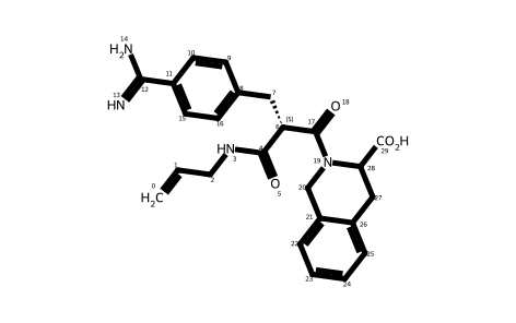 C=CCNC(=O)[C@H](Cc1ccc(C(=N)N)cc1)C(=O)N1Cc2ccccc2CC1C(=O)O